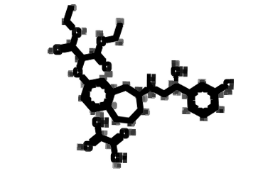 CCOC(=O)C(Oc1ccc2c(c1)C[C@@H](NC[C@H](O)c1cccc(Cl)c1)CCC2)C(=O)OCC.O=C(O)C(=O)O